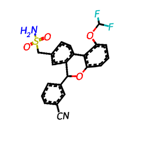 N#Cc1cccc(C2Oc3cccc(OC(F)F)c3-c3ccc(CS(N)(=O)=O)cc32)c1